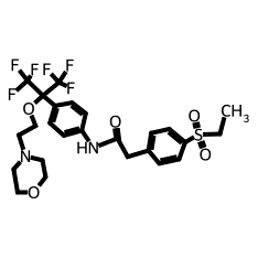 CCS(=O)(=O)c1ccc(CC(=O)Nc2ccc(C(OCCN3CCOCC3)(C(F)(F)F)C(F)(F)F)cc2)cc1